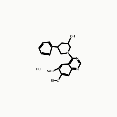 CCOc1cc2ncnc(N3CC(O)CC(c4ccccc4)C3)c2cc1OC.Cl